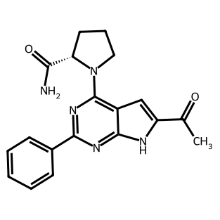 CC(=O)c1cc2c(N3CCC[C@H]3C(N)=O)nc(-c3ccccc3)nc2[nH]1